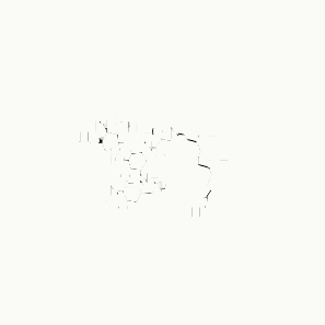 CNC1C(O)C(OC2C(O)C(OC3OC(CN)C(O)C(O)C3N)C(N)C[C@@H]2NC(=O)C(O)C/N=C\C=C(/C)CC/C=C(\C)CCC=C(C)C)OCC1(C)O